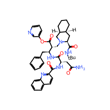 CC(C)(C)NC(=O)[C@@H]1C[C@@H]2CCCC[C@@H]2CN1C[C@@H](C(=O)Oc1cccnc1)[C@H](Cc1ccccc1)NC(=O)[C@H](CC(N)=O)NC(=O)c1ccc2ccccc2n1